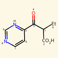 CCC(C(=O)O)C(=O)c1ccncn1